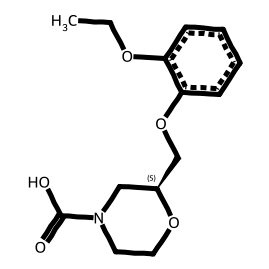 CCOc1ccccc1OC[C@@H]1CN(C(=O)O)CCO1